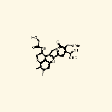 COCc1c(C(O)C=O)cc2n(c1=O)Cc1c-2nc2cc(F)c(C)c3c2c1C(NC(=O)CO)CS3